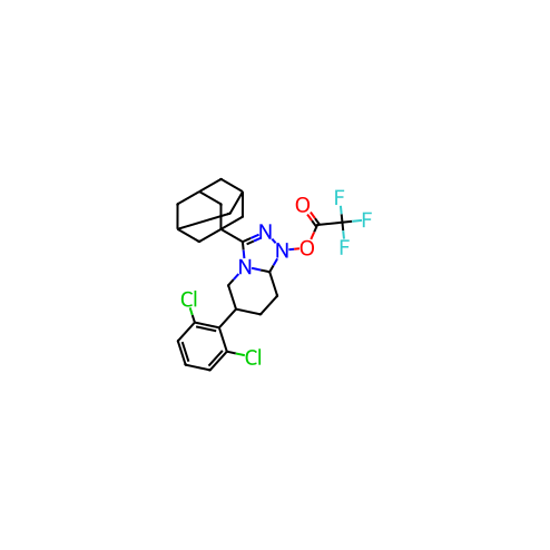 O=C(ON1N=C(C23CC4CC(CC(C4)C2)C3)N2CC(c3c(Cl)cccc3Cl)CCC12)C(F)(F)F